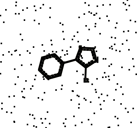 CCc1n[c]sc1-c1ccccc1